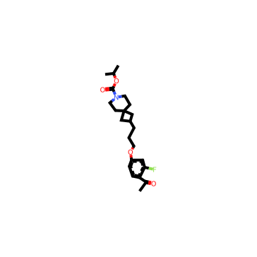 CC(=O)c1ccc(OCCCC2CC3(CCN(C(=O)OC(C)C)CC3)C2)cc1F